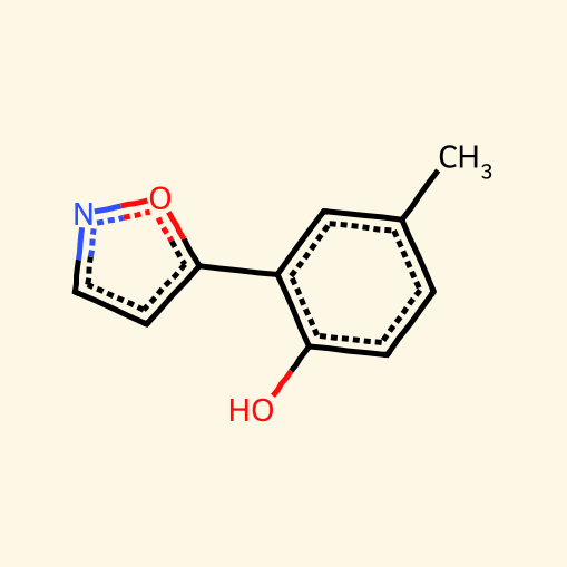 Cc1ccc(O)c(-c2ccno2)c1